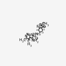 Cc1nnc2sc(C(=O)NCc3ccc(S(C)(=O)=O)c(F)c3)c(N)c2c1C